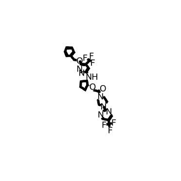 O=C(CO[C@@H]1CCC[C@H]1Nc1cc(C(F)(F)F)c(OCc2ccccc2)nn1)N1CCN(c2ncc(C(F)(F)F)cn2)CC1